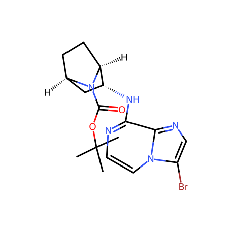 CC(C)(C)OC(=O)N1[C@@H]2CC[C@H]1[C@H](Nc1nccn3c(Br)cnc13)C2